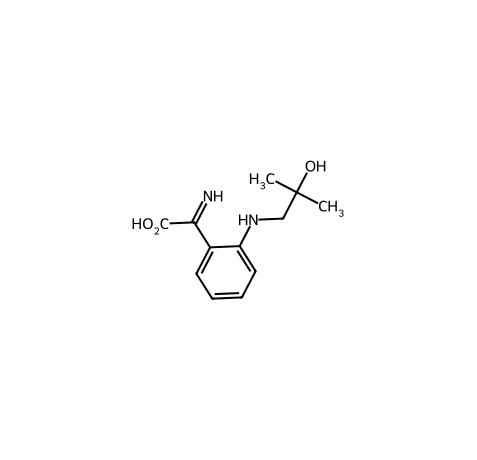 CC(C)(O)CNc1ccccc1C(=N)C(=O)O